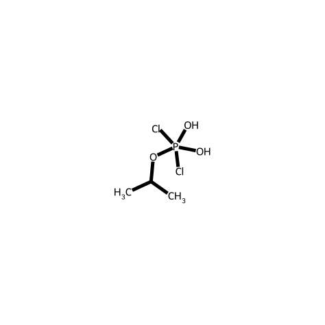 CC(C)OP(O)(O)(Cl)Cl